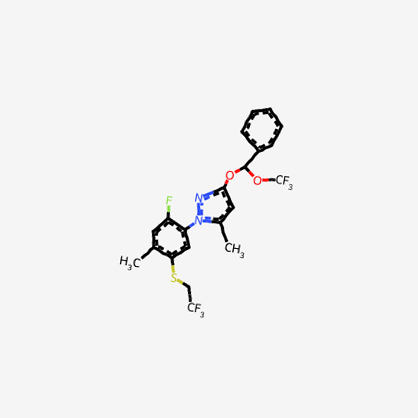 Cc1cc(F)c(-n2nc(OC(OC(F)(F)F)c3ccccc3)cc2C)cc1SCC(F)(F)F